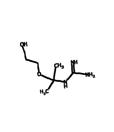 CC(C)(NC(=N)N)OCCO